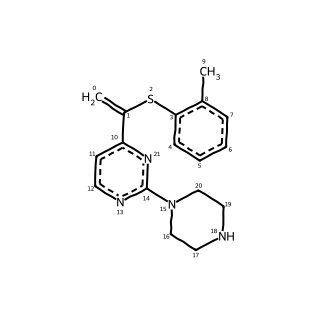 C=C(Sc1ccccc1C)c1ccnc(N2CCNCC2)n1